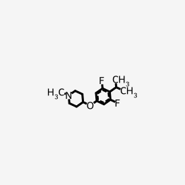 CC(C)c1c(F)cc(OC2CCN(C)CC2)cc1F